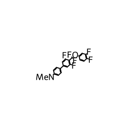 CNc1ccc(-c2cc(F)c(C(F)(F)Oc3ccc(F)c(F)c3)c(F)c2)cc1